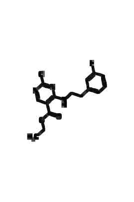 CCOC(=O)c1cnc(Cl)nc1NCCc1cccc(F)c1